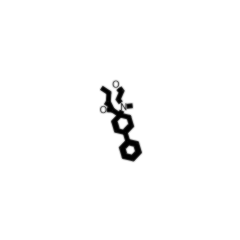 CCC1OC1C1(N(C)CC=O)C=CC(c2ccccc2)=CC1